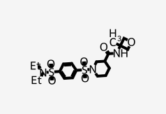 CCN(CC)S(=O)(=O)c1ccc(S(=O)(=O)N2CCCC(C(=O)NC3(C)COC3)C2)cc1